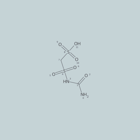 NC(=O)NS(=O)(=O)CS(=O)(=O)O